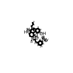 C=CCN1CC[C@]23c4c5ccc(O)c4O[C@H]2[C@H](N(C)C(=O)Cc2cccc([N+](=O)[O-])c2)CC[C@@]3(O)[C@H]1C5